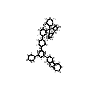 c1ccc(-c2cc(-c3ccc4c(c3)sc3ccccc34)nc(-c3ccc(-c4ccc5c(c4)C4(c6ccccc6S5)c5ccccc5-c5ccccc54)cc3)n2)cc1